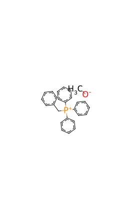 C[O-].c1ccc(C[P+](c2ccccc2)(c2ccccc2)c2ccccc2)cc1